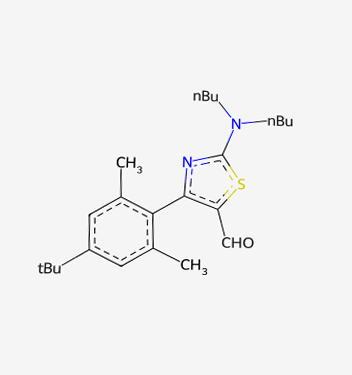 CCCCN(CCCC)c1nc(-c2c(C)cc(C(C)(C)C)cc2C)c(C=O)s1